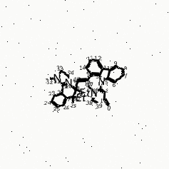 C=C/C=C(n1c2ccccc2c2cccc(/C=C/C3(CC)[N+]4=C(c5ccccc5C3(C)CC)N(C)CC4)c21)\[N+](C)=C/C